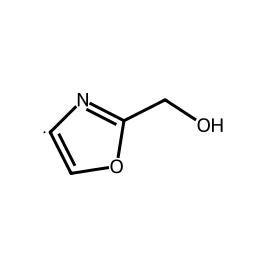 OCc1n[c]co1